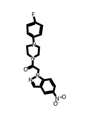 O=C(Cn1ncc2cc([N+](=O)[O-])ccc21)N1CCN(c2ccc(F)cc2)CC1